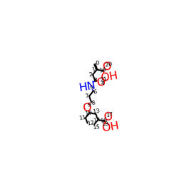 C=C(CC(=O)NCCCOC(CC)CC(C)C(=O)O)C(=O)O